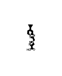 O=C(O)c1cn(Cc2nc3cc(C4CC4)ccn3n2)nn1